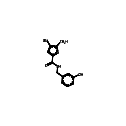 CC(C)(C)c1cc(C(=O)NCc2cccc(O)c2)sc1C(=O)O